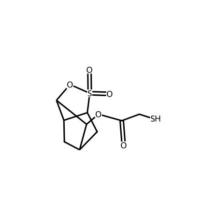 O=C(CS)OC1C2CC3C1OS(=O)(=O)C3C2